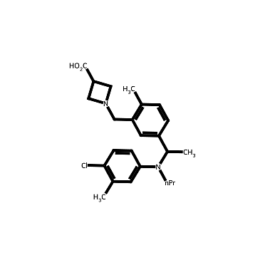 CCCN(c1ccc(Cl)c(C)c1)C(C)c1ccc(C)c(CN2CC(C(=O)O)C2)c1